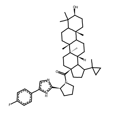 CC1(C2CC[C@]3(C(=O)N4CCC[C@H]4c4ncc(-c5ccc(F)cc5)[nH]4)CC[C@]4(C)[C@H](CCC5[C@@]6(C)CC[C@H](O)C(C)(C)C6CC[C@]54C)C23)CC1